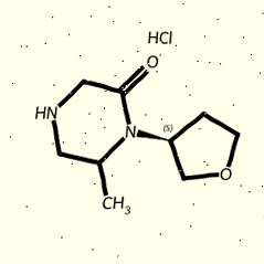 CC1CNCC(=O)N1[C@H]1CCOC1.Cl